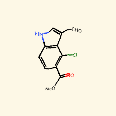 COC(=O)c1ccc2[nH]cc(C=O)c2c1Cl